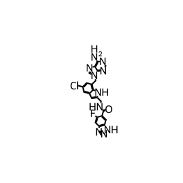 Nc1ncnc2c1ncn2Cc1cc(Cl)cc2cc(CNC(=O)c3cc4[nH]nnc4cc3F)[nH]c12